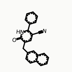 N#Cc1cc(Cc2ccc3ccccc3c2)c(=O)[nH]c1-c1ccccc1